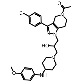 COc1ccc(NC2CCN(CC(O)Cn3nc(-c4ccc(Cl)cc4)c4c3CCN(C(C)=O)C4)CC2)cc1